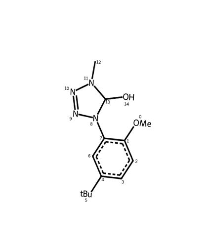 COc1ccc(C(C)(C)C)cc1N1N=NN(C)C1O